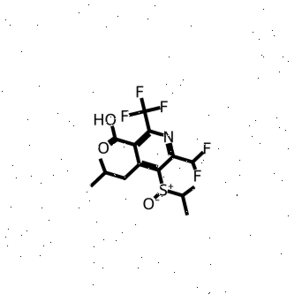 CC(C)Cc1c(C(=O)O)c(C(F)(F)F)nc(C(F)F)c1[S+]([O-])C(C)C